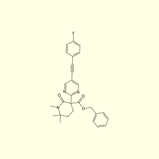 CN1C(=O)C(C(=O)OCc2ccccc2)(c2ncc(C#Cc3ccc(F)cc3)cn2)CCC1(C)C